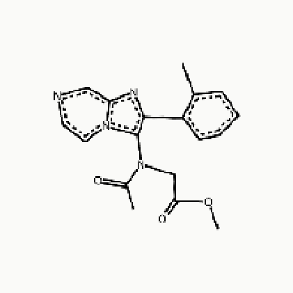 COC(=O)CN(C(C)=O)c1c(-c2ccccc2C)nc2cnccn12